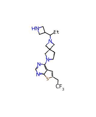 CCC(C1CNC1)N1CC2(CCN(c3ncnc4sc(CC(F)(F)F)cc34)C2)C1